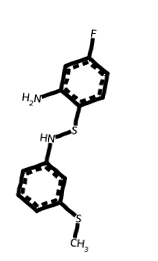 CSc1cccc(NSc2ccc(F)cc2N)c1